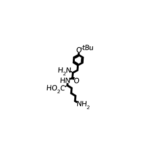 CC(C)(C)Oc1ccc(C[C@H](N)C(=O)N[C@@H](CCCCN)C(=O)O)cc1